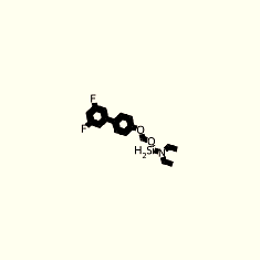 CCN(CC)[SiH2]OCOc1ccc(-c2cc(F)cc(F)c2)cc1